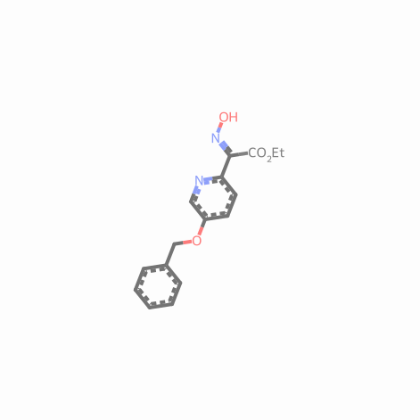 CCOC(=O)/C(=N\O)c1ccc(OCc2ccccc2)cn1